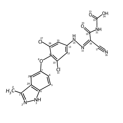 Cc1n[nH]c2ccc(Oc3c(Cl)cc(NN=C(C#N)C(=O)NC(=O)O)cc3Cl)cc12